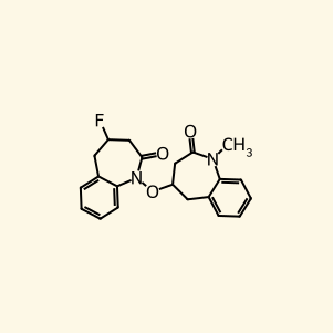 CN1C(=O)CC(ON2C(=O)CC(F)Cc3ccccc32)Cc2ccccc21